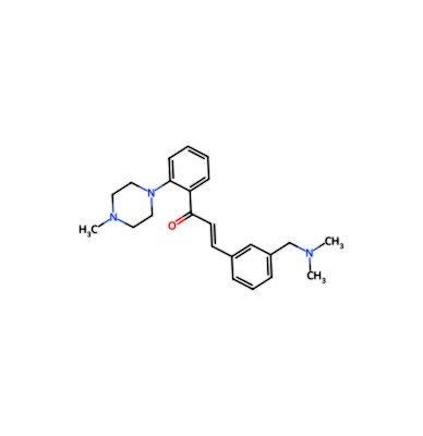 CN(C)Cc1cccc(C=CC(=O)c2ccccc2N2CCN(C)CC2)c1